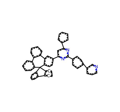 c1ccc(-c2cc(-c3ccc4c(c3)-c3ccccc3-c3ccccc3C43c4ccccc4-c4ccccc43)nc(-c3ccc(-c4cccnc4)cc3)n2)cc1